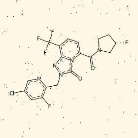 O=C(c1ccc(C(F)(F)F)c2nn(Cc3ncc(Cl)cc3F)c(=O)n12)N1CC[C@H](F)C1